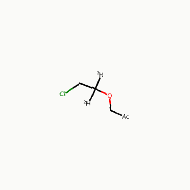 [2H]C([2H])(CCl)OCC(C)=O